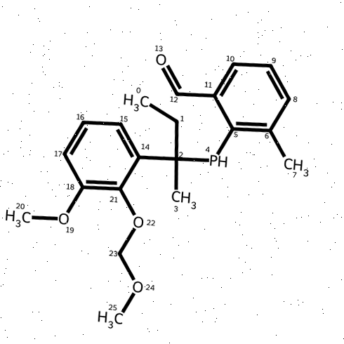 CCC(C)(Pc1c(C)cccc1C=O)c1cccc(OC)c1OCOC